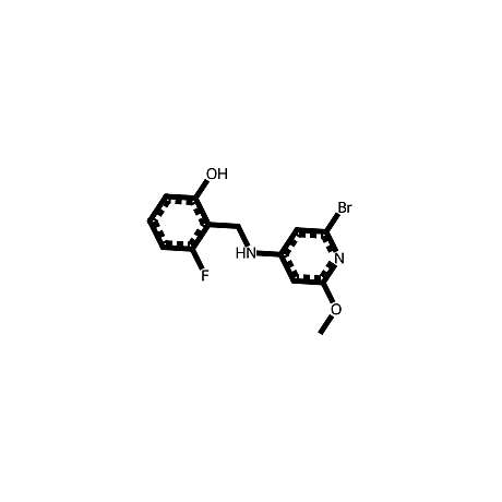 COc1cc(NCc2c(O)cccc2F)cc(Br)n1